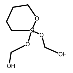 OCO[Si]1(OCO)CCCCO1